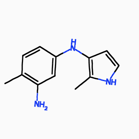 Cc1ccc(Nc2cc[nH]c2C)cc1N